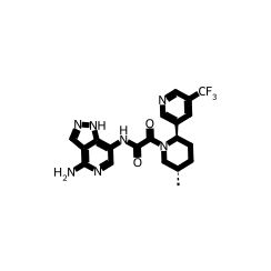 C[C@H]1CC[C@H](c2cncc(C(F)(F)F)c2)N(C(=O)C(=O)Nc2cnc(N)c3cn[nH]c23)C1